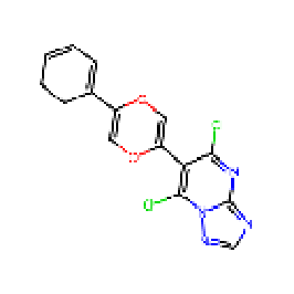 Clc1nc2ncnn2c(Cl)c1C1=COC(C2=CC=CCC2)=CO1